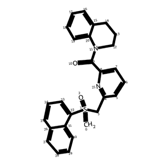 C=S(=O)(Cc1cccc(C(=O)N2CCCc3ccccc32)n1)c1cccc2ccccc12